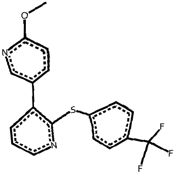 COc1ccc(-c2cccnc2Sc2ccc(C(F)(F)F)cc2)cn1